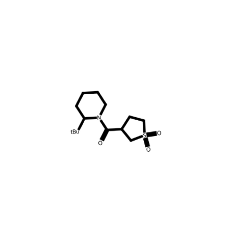 CC(C)(C)C1CCCCN1C(=O)C1CCS(=O)(=O)C1